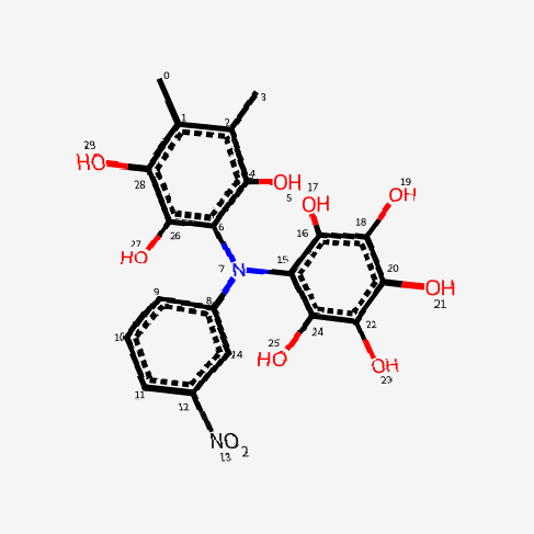 Cc1c(C)c(O)c(N(c2cccc([N+](=O)[O-])c2)c2c(O)c(O)c(O)c(O)c2O)c(O)c1O